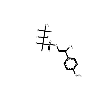 CC(=O)Nc1ccc(/C(=N/OS(=O)(=O)C(F)(F)C(F)(F)C(F)(F)C(F)(F)F)C(F)(F)F)cc1